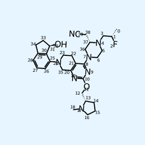 C[C@H](F)CN1CCN(c2nc(OC[C@@H]3CCCN3C)nc3c2CCN(c2cccc4c2[C@H](O)CC4)C3)C[C@@H]1CC#N